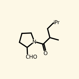 CC(C)CC(C)C(=O)N1CCCC1C=O